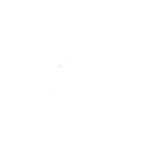 [Cl-].[Cl-].[Ti+2][O]Cc1ccccc1C1c2ccccc2-c2ccccc21